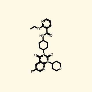 CCOc1ncccc1C(=O)NC1CCC(n2c(=O)c3cc(F)cnc3n(C3CCSCC3)c2=O)CC1